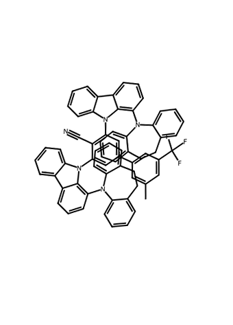 Cc1cc(-c2cc(-n3c4ccccc4c4cccc(N5c6ccccc6CCc6ccccc65)c43)c(C#N)c(-n3c4ccccc4c4cccc(N5c6ccccc6CCc6ccccc65)c43)c2)cc(C(F)(F)F)c1